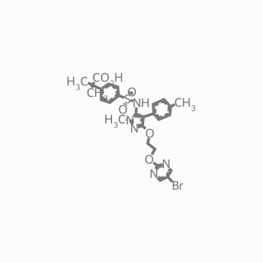 Cc1ccc(-c2c(OCCOc3ncc(Br)cn3)nn(C)c2NS(=O)(=O)c2ccc(C(C)(C)C(=O)O)cc2)cc1